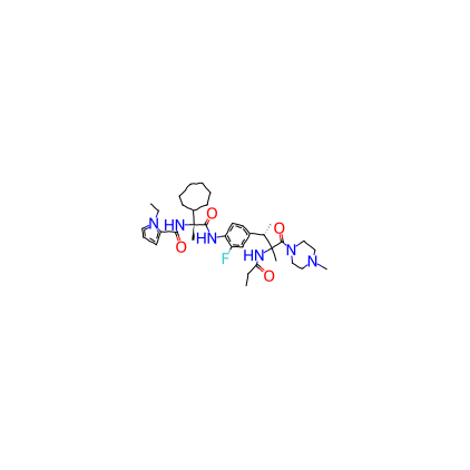 CCC(=O)NC(C)(C(=O)N1CCN(C)CC1)[C@@H](C)c1ccc(NC(=O)[C@](C)(NC(=O)c2cccn2CC)C2CCCCCC2)c(F)c1